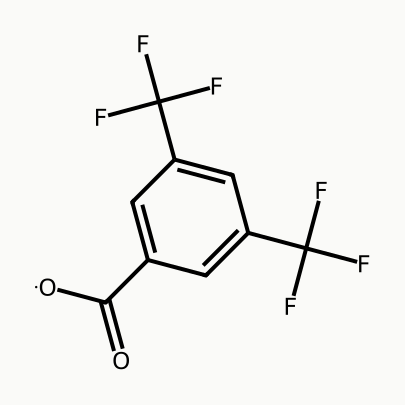 [O]C(=O)c1cc(C(F)(F)F)cc(C(F)(F)F)c1